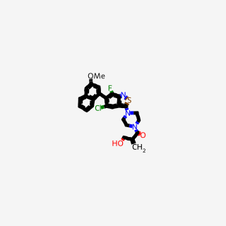 C=C(CO)C(=O)N1CCN(c2snc3c(F)c(-c4cc(OC)cc5ccccc45)c(Cl)cc23)CC1